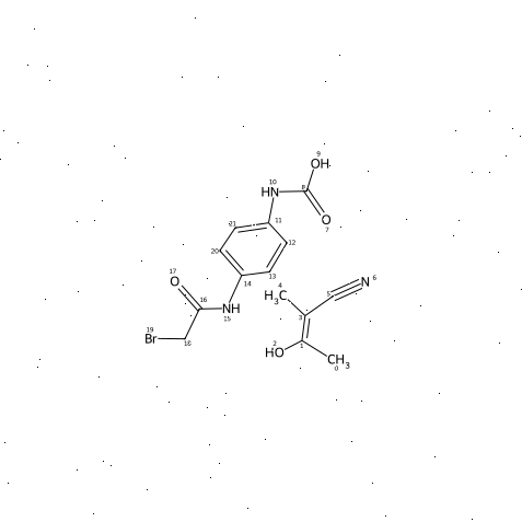 CC(O)=C(C)C#N.O=C(O)Nc1ccc(NC(=O)CBr)cc1